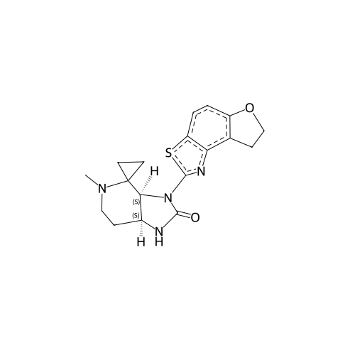 CN1CC[C@@H]2NC(=O)N(c3nc4c5c(ccc4s3)OCC5)[C@@H]2C12CC2